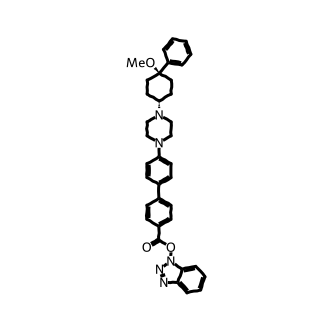 CO[C@]1(c2ccccc2)CC[C@@H](N2CCN(c3ccc(-c4ccc(C(=O)On5nnc6ccccc65)cc4)cc3)CC2)CC1